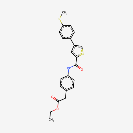 CCOC(=O)Cc1ccc(NC(=O)c2cc(-c3ccc(SC)cc3)cs2)cc1